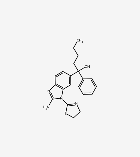 CCCCC(O)(c1ccccc1)c1ccc2nc(N)n(C3=NCCS3)c2c1